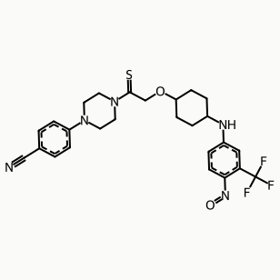 N#Cc1ccc(N2CCN(C(=S)COC3CCC(Nc4ccc(N=O)c(C(F)(F)F)c4)CC3)CC2)cc1